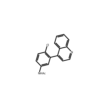 CC(=O)Nc1ccc(Cl)c(-c2ccnc3ccccc23)c1